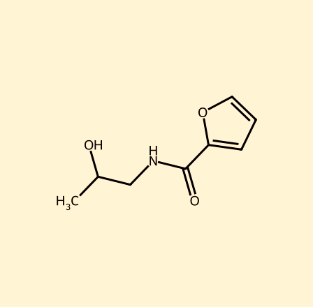 CC(O)CNC(=O)c1ccco1